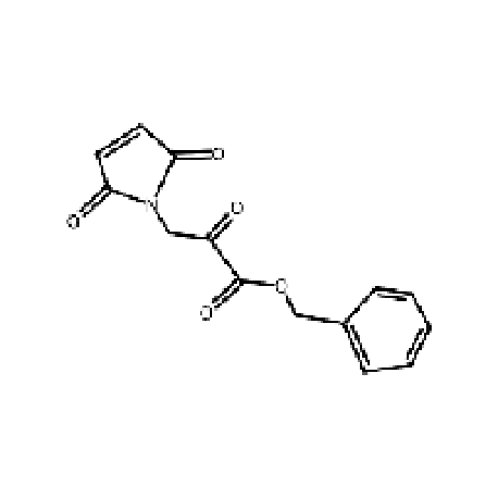 O=C(CN1C(=O)C=CC1=O)C(=O)OCc1ccccc1